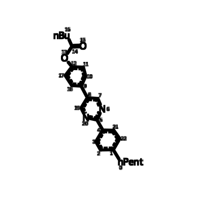 CCCCCc1ccc(-c2ncc(-c3ccc(OC(=O)CCCC)cc3)cn2)cc1